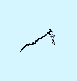 CCCCCCCCCCCCCCCCCCSCC(COP(=O)(O)OCC[N+](C)(C)C)C(C)C